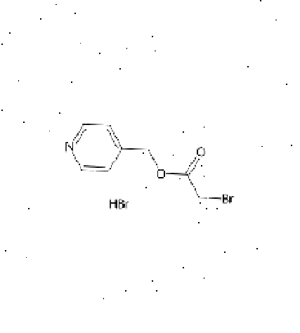 Br.O=C(CBr)OCc1ccncc1